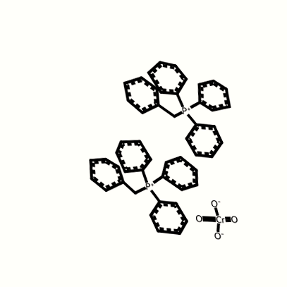 [O]=[Cr](=[O])([O-])[O-].c1ccc(C[P+](c2ccccc2)(c2ccccc2)c2ccccc2)cc1.c1ccc(C[P+](c2ccccc2)(c2ccccc2)c2ccccc2)cc1